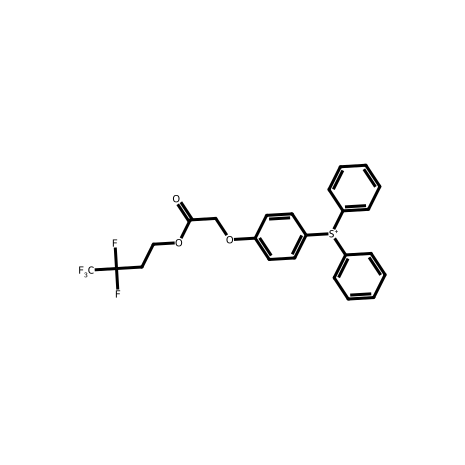 O=C(COc1ccc([S+](c2ccccc2)c2ccccc2)cc1)OCCC(F)(F)C(F)(F)F